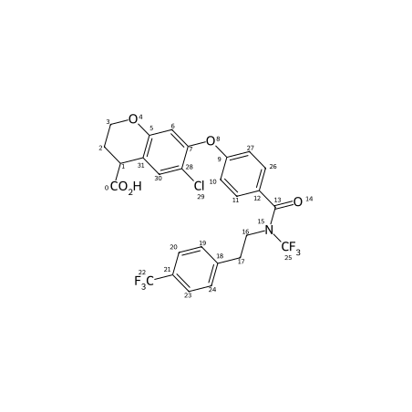 O=C(O)C1CCOc2cc(Oc3ccc(C(=O)N(CCc4ccc(C(F)(F)F)cc4)C(F)(F)F)cc3)c(Cl)cc21